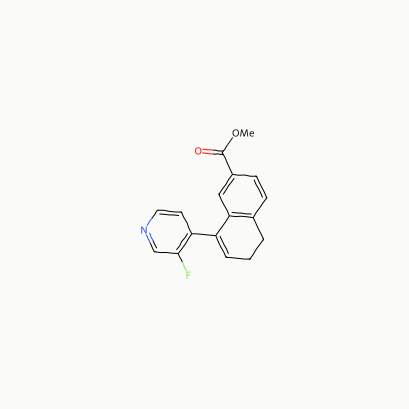 COC(=O)c1ccc2c(c1)C(c1ccncc1F)=CCC2